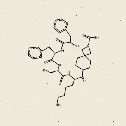 CCC(=O)N1CC2(CCN(C(=O)[C@@H](CCCCN)NC(=O)[C@@H](CC(C)C)NC(=O)[C@@H](Cc3ccccc3)NC(=O)[C@H](N)Cc3ccccc3)CC2)C1